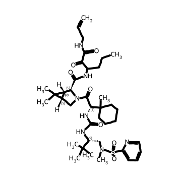 C=CCNC(=O)C(=O)C(CCC)NC(=O)[C@@H]1[C@@H]2[C@H](CN1C(=O)[C@@H](NC(=O)N[C@H](CN(C)S(=O)(=O)c1ccccn1)C(C)(C)C)C1(C)CCCCC1)C2(C)C